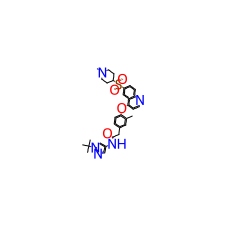 Cc1cc(CC(=O)Nc2cnn(C(C)(C)C)c2)ccc1Oc1ccnc2ccc(S(=O)(=O)C3CCN(C)CC3)cc12